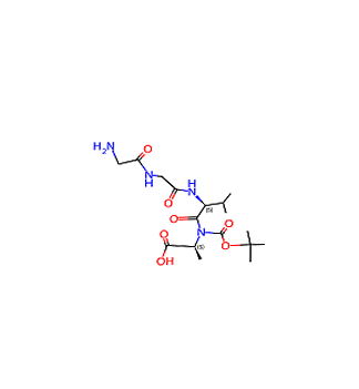 CC(C)[C@H](NC(=O)CNC(=O)CN)C(=O)N(C(=O)OC(C)(C)C)[C@@H](C)C(=O)O